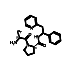 CC(C)[C@H](N)C(=O)N1CCC[C@H]1C(=O)NC(Cc1ccccn1)c1ccccc1